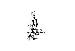 CN(C(=O)OC(C)(C)C)c1cc(Nc2cccn(C3CC(F)(F)C3)c2=O)nc2c(C(N)=O)cnn12